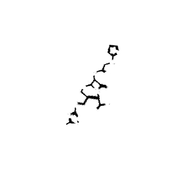 Cc1nsc(SCC2=C(C(=O)O)N3C(=O)C(NC(=O)C[S+]([O-])c4cccs4)[C@@H]3SC2)n1